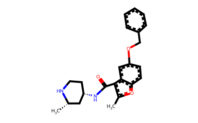 Cc1oc2ccc(OCc3ccccc3)cc2c1C(=O)N[C@H]1CCN[C@@H](C)C1